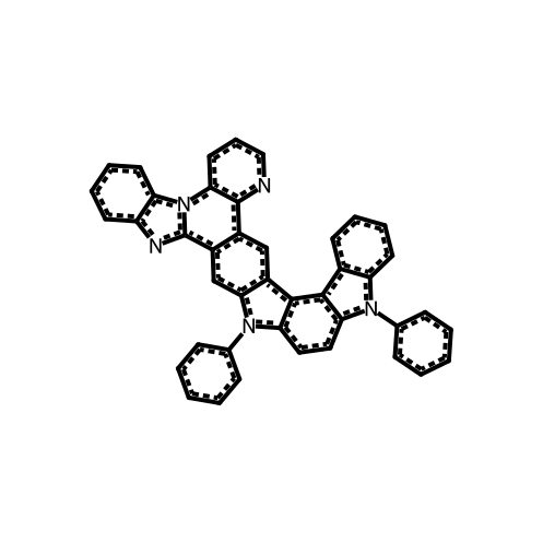 c1ccc(-n2c3ccccc3c3c4c5cc6c(cc5n(-c5ccccc5)c4ccc32)c2nc3ccccc3n2c2cccnc62)cc1